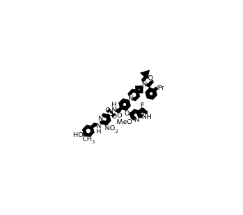 COc1nc2[nH]cc(F)c2cc1Oc1cc(N2CCC3(CC2)CC(N2CC4(CC4)OC[C@H]2c2ccccc2C(C)C)C3)ccc1C(=O)NS(=O)(=O)c1cnc(NCC2CCC(C)(O)CC2)c([N+](=O)[O-])c1